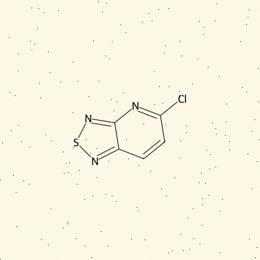 Clc1ccc2nsnc2n1